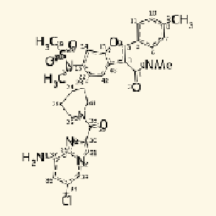 CNC(=O)c1c(-c2ccc(C)cc2)oc2cc(N(C)S(C)(=O)=O)c([C@H]3CCCN(C(=O)c4cn5cc(Cl)cc(N)c5n4)C3)cc12